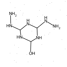 NNC1NC(O)NC(NN)N1